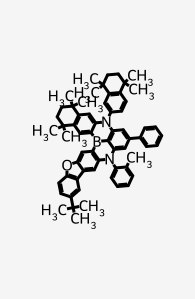 Cc1ccccc1N1c2cc3c(cc2B2c4cc5c(cc4N(c4ccc6c(c4)C(C)(C)CCC6(C)C)c4cc(-c6ccccc6)cc1c42)C(C)(C)CCC5(C)C)oc1ccc(C(C)(C)C)cc13